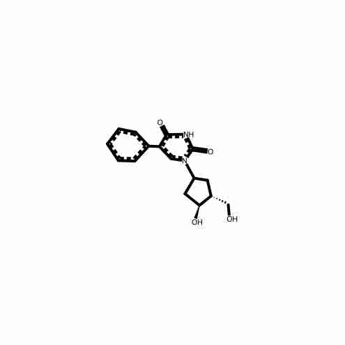 O=c1[nH]c(=O)n(C2C[C@H](CO)[C@@H](O)C2)cc1-c1ccccc1